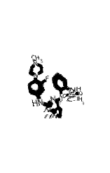 CN1CCN(c2ccc(Nc3nc(Nc4ccccc4NS(C)(=O)=O)c4cc[nH]c4n3)cc2F)CC1